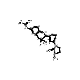 CN1CCN(c2cccc(C3Nc4ccc(OC(=O)O)cc4CC3(C)C)c2)C1=O